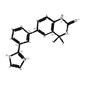 CC1(C)OC(=O)Nc2ccc(-c3cccc(-c4nccs4)c3)cc21